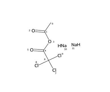 CC(=O)OC(=O)C(Cl)(Cl)Cl.[NaH].[NaH]